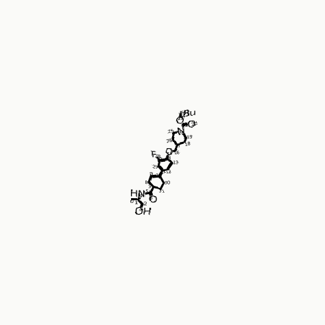 CC(CO)NC(=O)C1CC=C(c2ccc(OCC3CCN(C(=O)OC(C)(C)C)CC3)c(F)c2)CC1